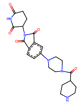 O=C1CCC(N2C(=O)c3ccc(N4CCN(C(=O)C5CCNCC5)CC4)cc3C2=O)C(=O)N1